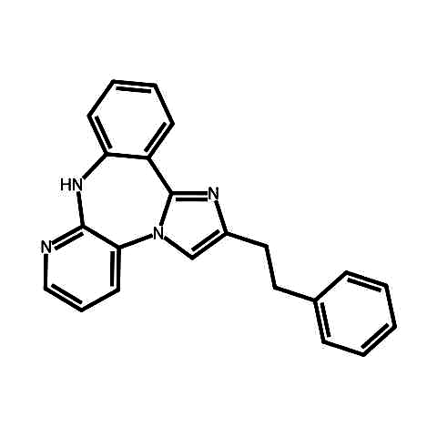 c1ccc(CCc2cn3c(n2)-c2ccccc2Nc2ncccc2-3)cc1